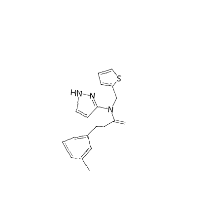 C=C(CCc1cccc(C)c1)N(Cc1cccs1)c1cc[nH]n1